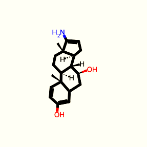 C[C@]12C=CC(O)=CC1C[C@H](O)[C@@H]1[C@@H]2CC[C@]2(C)C(N)=CC[C@@H]12